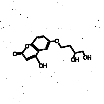 O=c1cc(O)c2cc(OCCC(O)CO)ccc2o1